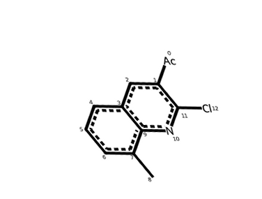 CC(=O)c1cc2cccc(C)c2nc1Cl